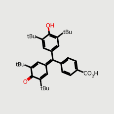 CC(C)(C)C1=CC(=C(c2ccc(C(=O)O)cc2)c2cc(C(C)(C)C)c(O)c(C(C)(C)C)c2)C=C(C(C)(C)C)C1=O